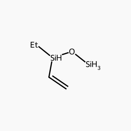 C=C[SiH](CC)O[SiH3]